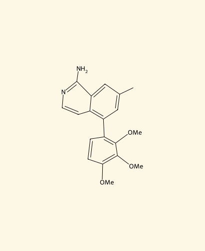 COc1ccc(-c2cc(C)cc3c(N)nccc23)c(OC)c1OC